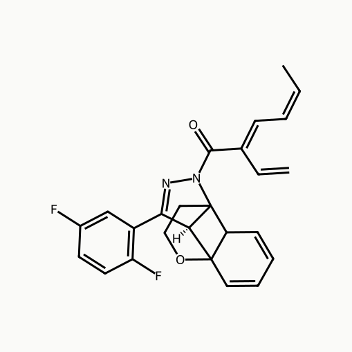 C=C/C(=C\C=C/C)C(=O)N1N=C(c2cc(F)ccc2F)[C@@H]2C34C=CC=CC3C21CCO4